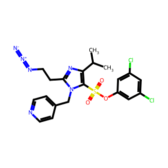 CC(C)c1nc(CCN=[N+]=[N-])n(Cc2ccncc2)c1S(=O)(=O)Oc1cc(Cl)cc(Cl)c1